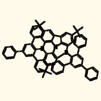 CC(C)(C)c1cc2c3c(c1)B(c1c(-c4ccccc4)cc(-c4ccccc4)cc1-c1ccccc1)c1cc(C(C)(C)C)cc4c5cc(C(C)(C)C)cc(c5n-3c14)B2c1c(-c2ccccc2)cc(-c2ccccc2)cc1-c1ccccc1